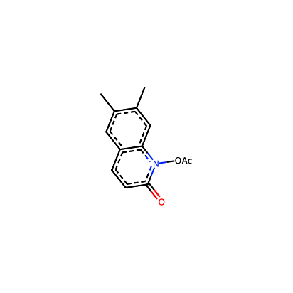 CC(=O)On1c(=O)ccc2cc(C)c(C)cc21